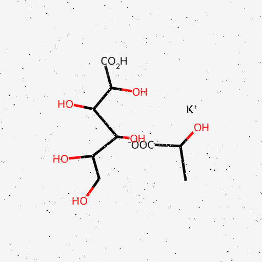 CC(O)C(=O)[O-].O=C(O)C(O)C(O)C(O)C(O)CO.[K+]